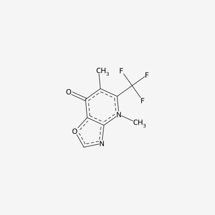 Cc1c(C(F)(F)F)n(C)c2ncoc2c1=O